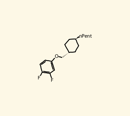 CCCCC[C@H]1CC[C@H](COc2ccc(F)c(F)c2)CC1